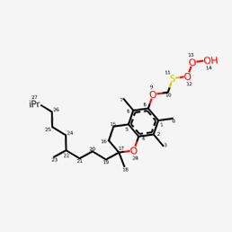 Cc1c(C)c2c(c(C)c1OCSOOO)CCC(C)(CCCC(C)CCCC(C)C)O2